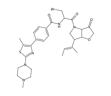 C/C=C(\C)C1CN(C(=O)C(CC(C)C)NC(=O)c2ccc(-c3nc(N4CCN(C)CC4)sc3C)cc2)C2C(=O)COC12